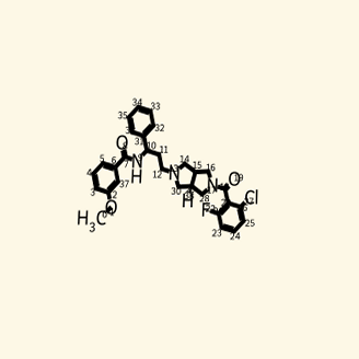 COc1cccc(C(=O)NC(CCN2CC3CN(C(=O)c4c(F)cccc4Cl)C[C@@H]3C2)c2ccccc2)c1